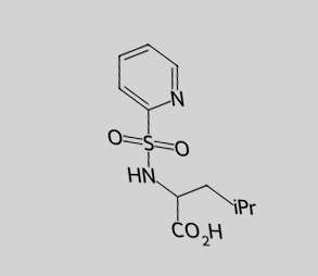 CC(C)CC(NS(=O)(=O)c1ccccn1)C(=O)O